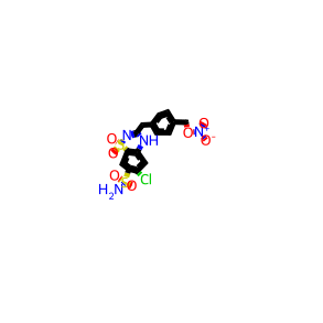 NS(=O)(=O)c1cc2c(cc1Cl)NC(Cc1ccc(CO[N+](=O)[O-])cc1)=NS2(=O)=O